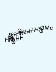 COC(=O)CCCCCCCCCCCNC(=O)CCCCC1SCC2NC(=O)NC21